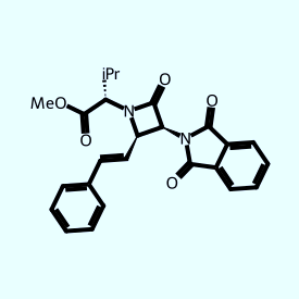 COC(=O)[C@H](C(C)C)N1C(=O)[C@@H](N2C(=O)c3ccccc3C2=O)[C@H]1C=Cc1ccccc1